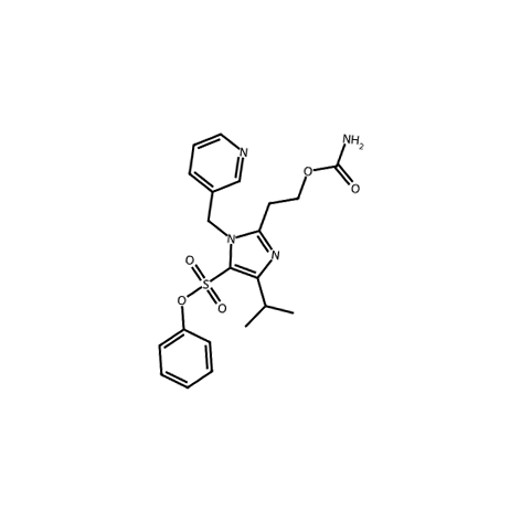 CC(C)c1nc(CCOC(N)=O)n(Cc2cccnc2)c1S(=O)(=O)Oc1ccccc1